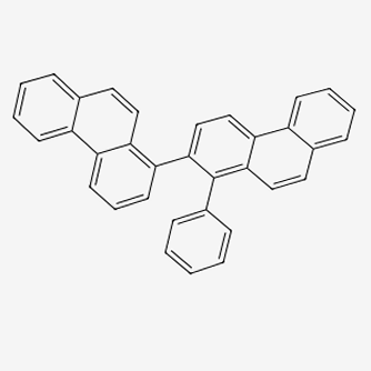 c1ccc(-c2c(-c3cccc4c3ccc3ccccc34)ccc3c2ccc2ccccc23)cc1